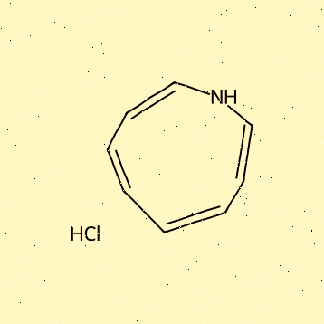 Cl.c1cccc[nH]ccc1